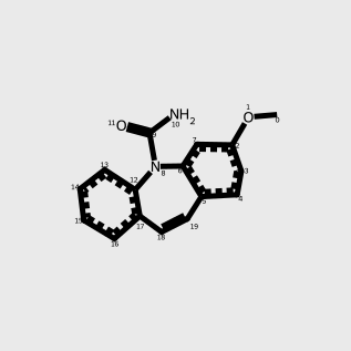 COc1ccc2c(c1)N(C(N)=O)c1ccccc1C=C2